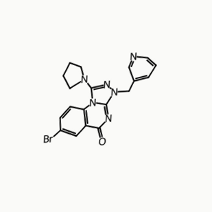 O=c1nc2n(Cc3cccnc3)nc(N3CCCC3)n2c2ccc(Br)cc12